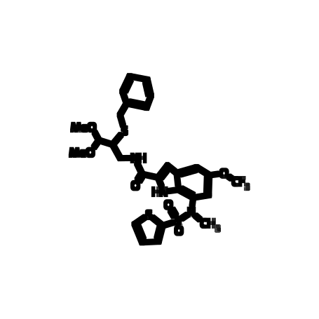 COC(OC)C(CNC(=O)c1cc2cc(OC(F)(F)F)cc(N(C)S(=O)(=O)c3cccs3)c2[nH]1)SCc1ccccc1